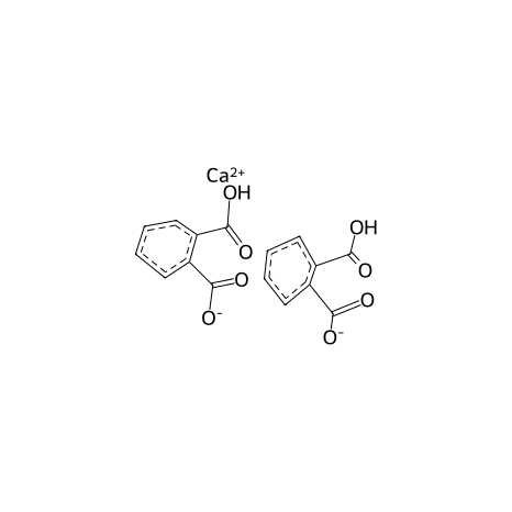 O=C([O-])c1ccccc1C(=O)O.O=C([O-])c1ccccc1C(=O)O.[Ca+2]